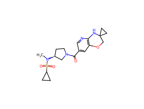 CN([C@H]1CCN(C(=O)c2cnc3c(c2)OCC2(CC2)N3)C1)S(=O)(=O)C1CC1